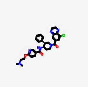 CN(C)CCOc1ccc(C(=O)N[C@@H]2CCN(C(=O)c3cc(Cl)c4nccnc4c3)C[C@@H]2c2ccccc2)cn1